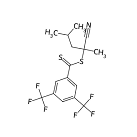 CC(C)CC(C)(C#N)SC(=S)c1cc(C(F)(F)F)cc(C(F)(F)F)c1